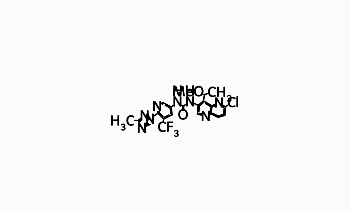 CO[C@@H](C)c1c(NC(=O)Nc2cnc(-n3cnc(C)n3)c(C(F)(F)F)c2)cnc2ccc(Cl)nc12